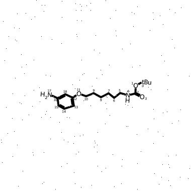 CC(C)(C)OC(=O)NCCCCCCOc1cccc(N)c1